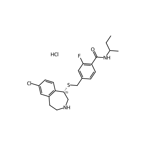 CCC(C)NC(=O)c1ccc(CS[C@@H]2CNCCc3cc(Cl)ccc32)cc1F.Cl